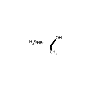 Br.CCO.[SnH2]